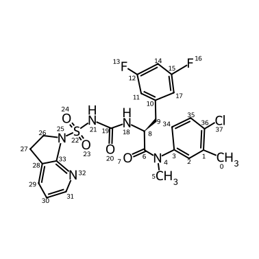 Cc1cc(N(C)C(=O)[C@H](Cc2cc(F)cc(F)c2)NC(=O)NS(=O)(=O)N2CCc3cccnc32)ccc1Cl